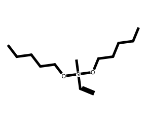 C=C[Si](C)(OCCCCC)OCCCCC